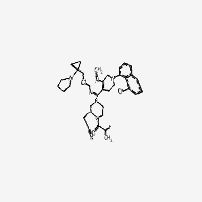 C=NC1=C(/C(=N\COCC2(N3CCCC3)CC2)N2CCN(C(=O)C(=C)F)[C@@H](CC#N)C2)CCN(c2cccc3cccc(Cl)c23)C1